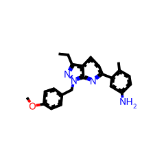 CCc1nn(Cc2ccc(OC)cc2)c2nc(-c3cc(N)ccc3C)ccc12